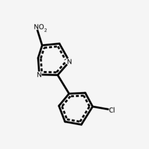 O=[N+]([O-])c1cnc(-c2cccc(Cl)c2)nc1